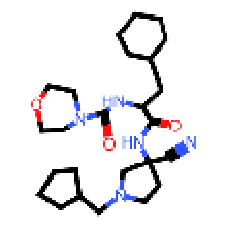 N#CC1(NC(=O)C(CC2CCCCC2)NC(=O)N2CCOCC2)CCN(CC2CCCC2)C1